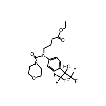 CCOC(=O)CCCN(C(=O)N1CCOCC1)c1ccc(C(O)(C(F)(F)F)C(F)(F)F)cc1